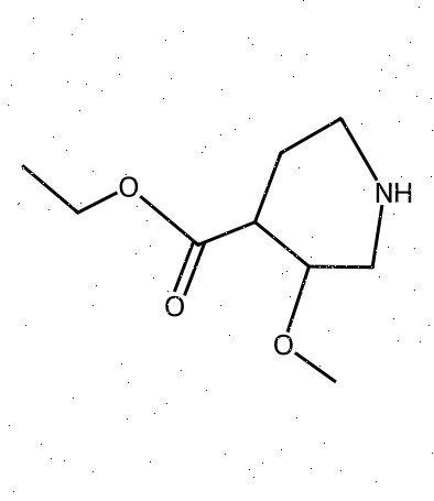 CCOC(=O)C1CCNCC1OC